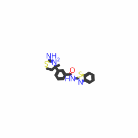 CC1(c2cccc(C(=O)Nc3nc4ccccc4s3)c2)CCSC(N)=N1